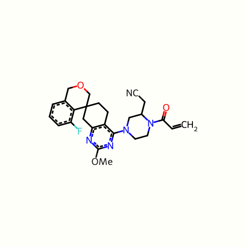 C=CC(=O)N1CCN(c2nc(OC)nc3c2CCC2(COCc4cccc(F)c42)C3)CC1CC#N